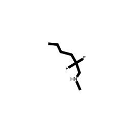 CCCCC(F)(F)CNC